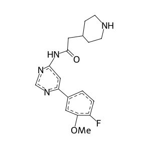 COc1cc(-c2cc(NC(=O)CC3CCNCC3)ncn2)ccc1F